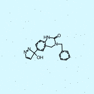 O=C1Nc2ccc(C3(O)C=CN=N3)cc2CN1Cc1ccccc1